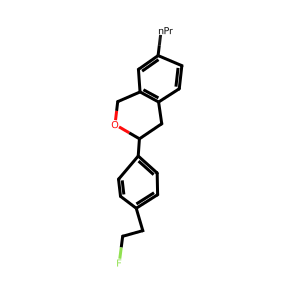 CCCc1ccc2c(c1)COC(c1ccc(CCF)cc1)C2